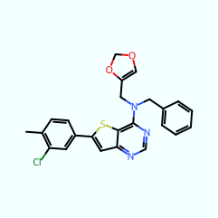 Cc1ccc(-c2cc3ncnc(N(CC4=COCO4)Cc4ccccc4)c3s2)cc1Cl